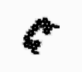 CC(C)(C)OC(=O)N[C@@H](C(=O)N1CCC[C@H]1C1=NCC(c2ccc(-c3ccc(-c4cnc([C@@H]5CCCN5C(=O)[C@H](NC(=O)OC(C)(C)C)c5ccccc5)[nH]4)cc3)nc2)N1)c1ccccc1